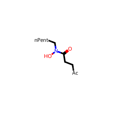 CCCCCCN(O)C(=O)CCC(C)=O